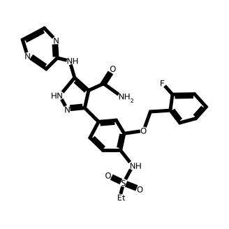 CCS(=O)(=O)Nc1ccc(-c2n[nH]c(Nc3cnccn3)c2C(N)=O)cc1OCc1ccccc1F